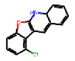 Clc1cccc2oc3c(c12)C=C1C=CC=CC1N3